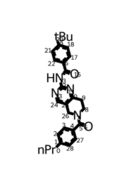 CCCc1ccc(C(=O)N2CCc3nc(NC(=O)c4ccc(C(C)(C)C)cc4)ncc3C2)cc1